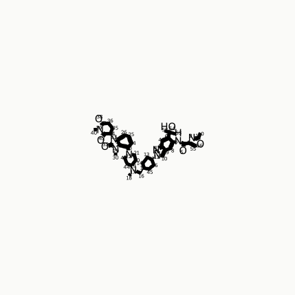 Cc1nc(C(=O)Nc2cc3cn([C@H]4CC[C@H](CN(C)C5CCN(c6cccc7c6n(C)c(=O)n7C6CCC(=O)N(C)C6=O)CC5)CC4)nc3cc2C(C)(C)O)co1